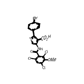 COc1c(Cl)cc(Cl)c(C(=O)Nc2csc(-c3ccc(Br)cc3)c2C(=O)O)c1Cl